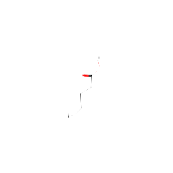 CCCOC(=O)[CH]CCC(C)C